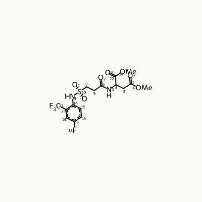 COC(=O)CC(NC(=O)CCS(=O)(=O)Nc1ccc(F)cc1C(F)(F)F)C(=O)OC